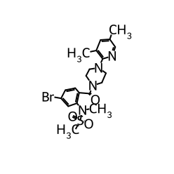 Cc1cnc(N2CCN(C(=O)c3ccc(Br)cc3N(C)S(C)(=O)=O)CC2)c(C)c1